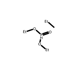 CCC.CCO[PH](=O)OCC